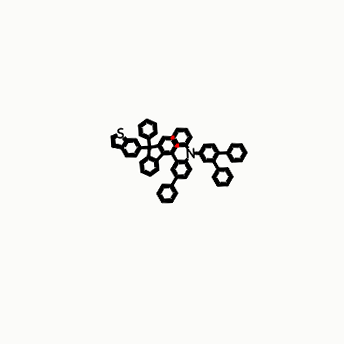 c1ccc(-c2ccc(N(c3ccccc3)c3ccc(-c4ccccc4)c(-c4ccccc4)c3)c(-c3cccc4c3-c3ccccc3C4(c3ccccc3)c3ccc4ccsc4c3)c2)cc1